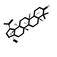 C=C[C@]12CC[C@@H](C(=C)C)[C@@H]1[C@H]1CC[C@@H]3[C@@]4(C)CCC(=O)C(C)(C)[C@@H]4CC[C@@]3(C)[C@]1(C)CC2